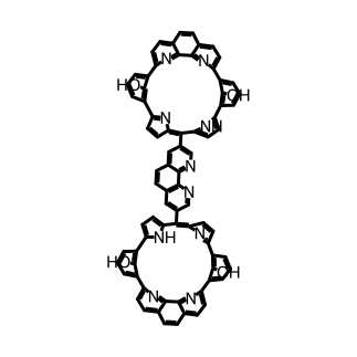 Oc1c2cccc1c1ccc3ccc4ccc(nc4c3n1)c1cccc(c1O)c1ccc([nH]1)c(-c1cnc3c(ccc4cc(-c5c6nc(c7cccc(c7O)c7ccc8ccc9ccc(nc9c8n7)c7cccc(c7O)c7ccc5[nH]7)C=C6)cnc43)c1)c1nc2C=C1